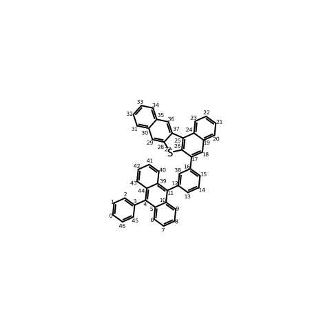 c1ccc(-c2c3ccccc3c(-c3cccc(-c4cc5ccccc5c5c4sc4cc6ccccc6cc45)c3)c3ccccc23)cc1